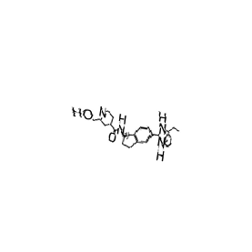 CCC1NC(c2ccc3c(c2)CC[C@H]3NC(=O)C2CCN=C(CO)C2)NO1